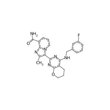 Cc1nc2c(C(N)=O)cccn2c1-c1nc(NCc2cccc(F)c2)c2c(n1)OCCC2